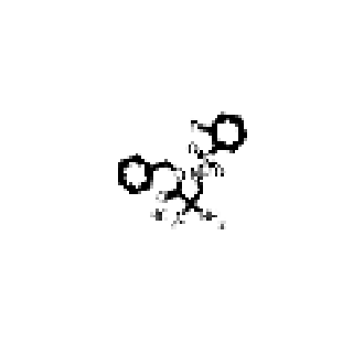 NC(CNS(=O)(=O)c1ccccc1F)(C(=O)O)C(=O)OCc1ccccc1